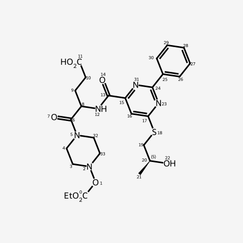 CCOC(=O)ON1CCN(C(=O)C(CCC(=O)O)NC(=O)c2cc(SC[C@H](C)O)nc(-c3ccccc3)n2)CC1